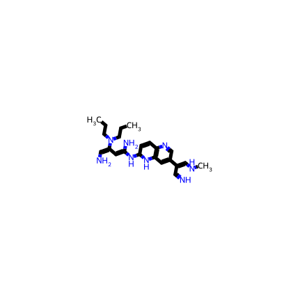 CCCN(CCC)C(/C=C(\N)NC1C=Cc2ncc(/C(C=N)=C/NC)cc2N1)=C/N